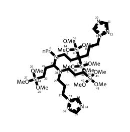 CCCN(CCC(CCCn1cncn1)([Si](OC)(OC)OC)[Si](OC)(OC)OC)C(CC[Si](OC)(OC)OC)N(CCCn1cncn1)CCC[Si](OC)(OC)OC